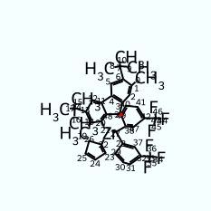 Cc1cc2c(cc1C(C)(C)C)-c1cc(C(C)(C)C)c(C)[c]([Zr]([C]3=CC=CC3)=[C](c3cccc(C(F)(F)F)c3)c3cccc(C(F)(F)F)c3)c1C2